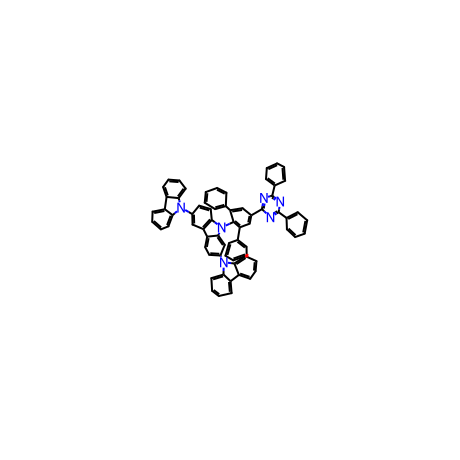 c1ccc(-c2nc(-c3ccccc3)nc(-c3cc(-c4ccccc4)c(-n4c5ccc(-n6c7ccccc7c7ccccc76)cc5c5ccc(-n6c7ccccc7c7ccccc76)cc54)c(-c4ccccc4)c3)n2)cc1